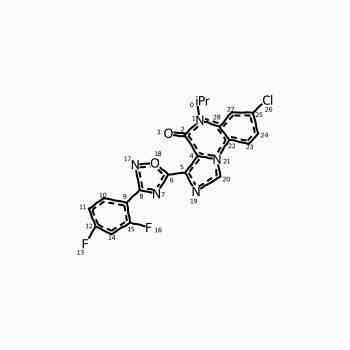 CC(C)n1c(=O)c2c(-c3nc(-c4ccc(F)cc4F)no3)ncn2c2ccc(Cl)cc21